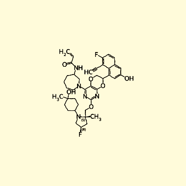 C#Cc1c(F)ccc2cc(O)cc(C3COc4c(nc(OC[C@]5(C)C[C@@H](F)CN5C5CCC(C)(O)CC5)nc4N4CCCCC(NC(=O)C=C)C4)O3)c12